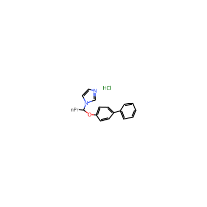 CCCC(Oc1ccc(-c2ccccc2)cc1)n1ccnc1.Cl